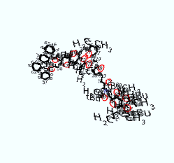 C=CCC[C@@H]1O[C@H]([C@H](/C=C/C(=O)CC[C@H]2CC(=C)[C@H](CC[C@H]3C[C@@H](C)C(=C)[C@@H](C[C@@H]4O[C@H]5C[C@@H](O[Si](c6ccccc6)(c6ccccc6)C(C)(C)C)[C@@H](CCO[Si](c6ccccc6)(c6ccccc6)C(C)(C)C)O[C@H]5[C@H](C)[C@H]4OC(=O)C=C)O3)O2)O[Si](C)(C)C(C)(C)C)[C@@H](O[Si](C)(C)C(C)(C)C)[C@@H](O[Si](C)(C)C(C)(C)C)[C@H]1O[Si](C)(C)C(C)(C)C